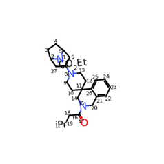 CCOC(=O)N1C2CCC1CC(N1CCC3(CC1)CN(C(=O)CC(C)C)Cc1ccccc13)C2